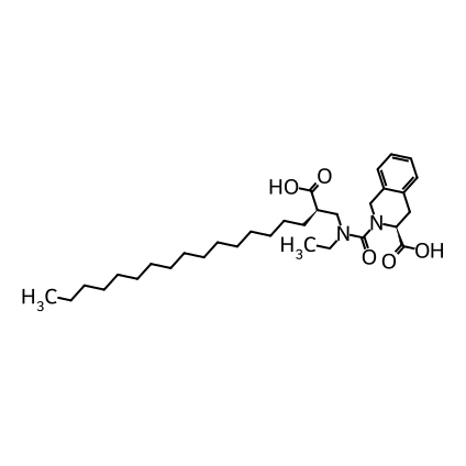 CCCCCCCCCCCCCCCC[C@H](CN(CC)C(=O)N1Cc2ccccc2C[C@H]1C(=O)O)C(=O)O